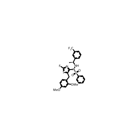 COc1ccc(Cc2sc(F)nc2N(N[C@@H](C)c2cccc(C(F)(F)F)c2)S(=O)(=O)c2ccccc2)c(OC)c1